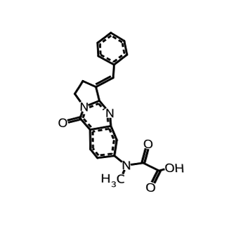 CN(C(=O)C(=O)O)c1ccc2c(=O)n3c(nc2c1)C(=Cc1ccccc1)CC3